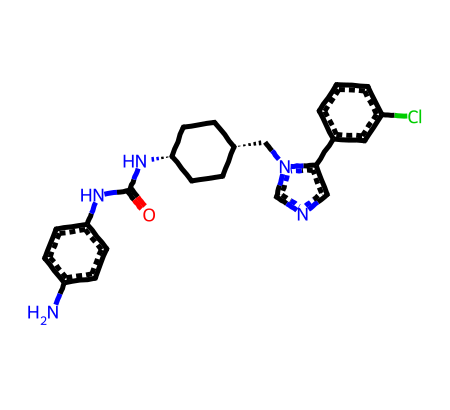 Nc1ccc(NC(=O)N[C@H]2CC[C@@H](Cn3cncc3-c3cccc(Cl)c3)CC2)cc1